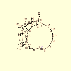 CC(C)[C@H]1NC(=O)CC2/C=C/CCSSCC(NC1=O)C(=O)N[C@@H](C)C(=O)NCC(=O)O2